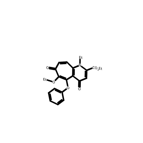 CCOC(=O)c1cc(=O)c2c(Oc3ccccc3)c(OCC)c(=O)ccc2n1CC